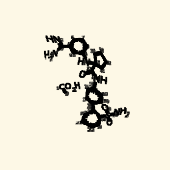 CC(=O)O.N=C(N)c1cccc(NC2(C(=O)Nc3ccc(-c4ccccc4S(N)(=O)=O)cc3)CCCC2)c1